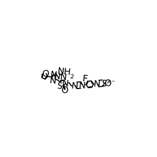 Nc1nc2c(sc(=O)n2CCN2CCN(c3ccc(N4CC[S+]([O-])CC4)cc3F)CC2)c2nc(-c3ccco3)nn12